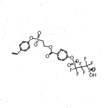 C=Cc1ccc(OS(=O)(=O)CCOC(=O)c2ccc(OS(=O)(=O)C(F)(F)C(F)(F)C(F)(F)S(=O)(=O)O)cc2)cc1